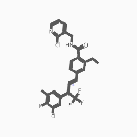 CCc1cc(/C=C/C(c2cc(C)c(F)c(Cl)c2)C(F)(F)F)ccc1C(=O)NCc1cccnc1Cl